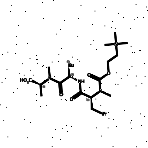 CC[C@H](C)[C@H](NC(=O)[C@H](CC(C)C)N(C)C(=O)OCC[Si](C)(C)C)C(=O)N(C)[C@@H](C)C(=O)O